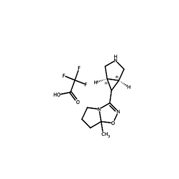 CC12CCCN1C(C1[C@H]3CNC[C@@H]13)=NO2.O=C(O)C(F)(F)F